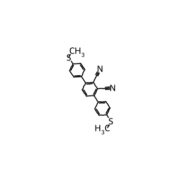 CSc1ccc(-c2ccc(-c3ccc(SC)cc3)c(C#N)c2C#N)cc1